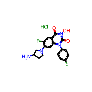 Cl.NC1CCN(c2cc3c(cc2F)c(=O)n(O)c(=O)n3-c2ccc(F)cc2)C1